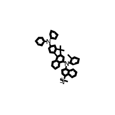 Cc1ccccc1N(c1ccc([Si](C)(C)C)c2ccccc12)c1cc2c(c3ccccc13)-c1ccc(N(c3ccccc3)c3ccccc3)cc1C2(C)C